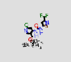 CC(C)(C)[Si](C)(C)OCc1cnc(Cl)cc1NC(=O)Nc1cc(C(F)F)ns1